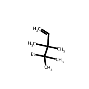 C=CC(C)(C)C(C)(C)CC